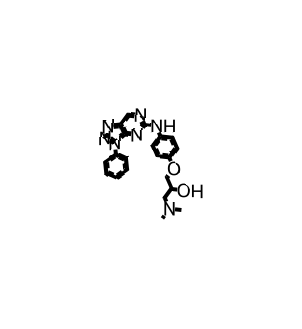 CN(C)CC(O)COc1ccc(Nc2ncc3nnn(-c4ccccc4)c3n2)cc1